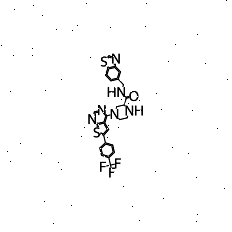 O=C(NCc1ccc2scnc2c1)[C@@H]1CN(c2ncnc3sc(-c4ccc(C(F)(F)F)cc4)cc23)CCN1